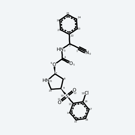 N#CC(NC(=O)O[C@H]1C[C@@H](S(=O)(=O)c2ccccc2Cl)CN1)c1ccccc1